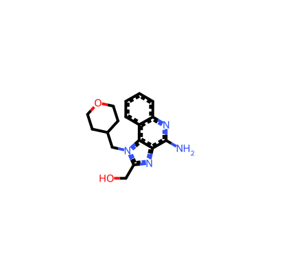 Nc1nc2ccccc2c2c1nc(CO)n2CC1CCOCC1